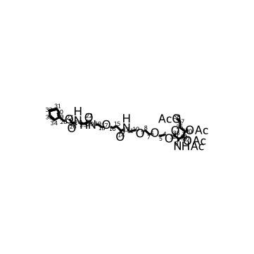 CC(=O)NC1[C@H](OCCOCCOCCNC(=O)CCOCCNC(=O)CNC(=O)OCc2ccccc2)OC(COC(C)=O)C(OC(C)=O)[C@@H]1OC(C)=O